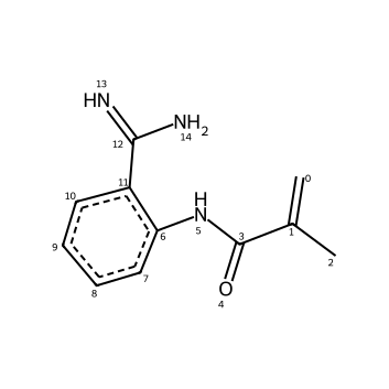 C=C(C)C(=O)Nc1ccccc1C(=N)N